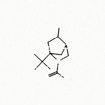 CC(C)(C)C12CC(O)C(CN1C(=O)O)C2